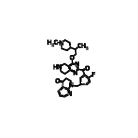 CC(COc1nc(C(=O)c2cc(CN3CCC(=O)c4cccnc43)ccc2F)nc2c1CNCC2)C1CCN(C)CC1